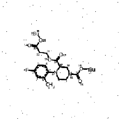 Cc1cc(F)ccc1N1CCN(C(=O)OC(C)(C)C)CC1C(=O)OCCC(=O)OC(C)(C)C